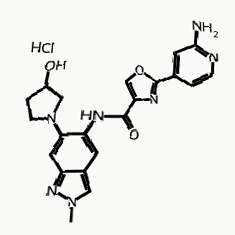 Cl.Cn1cc2cc(NC(=O)c3coc(-c4ccnc(N)c4)n3)c(N3CCC(O)C3)cc2n1